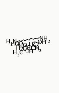 C[C@H](CCC(=O)O)[C@H]1CC[C@H]2[C@@H]3CC[C@@H]4C[C@H](O)CC[C@]4(C)[C@H]3C[C@H](O)[C@]12C.NCCCCCCCCCCCCN